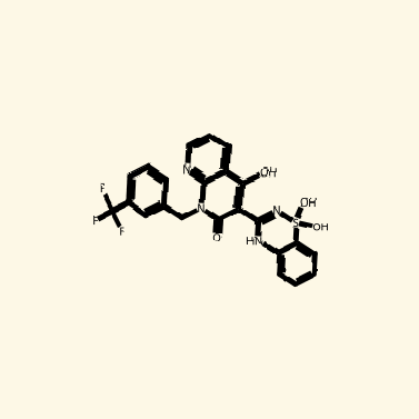 O=c1c(C2=NS(O)(O)c3ccccc3N2)c(O)c2cccnc2n1Cc1cccc(C(F)(F)F)c1